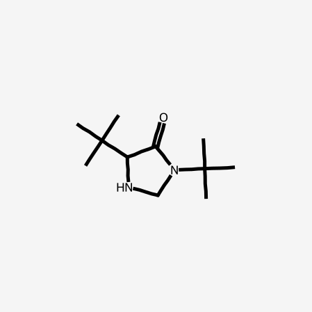 CC(C)(C)C1NCN(C(C)(C)C)C1=O